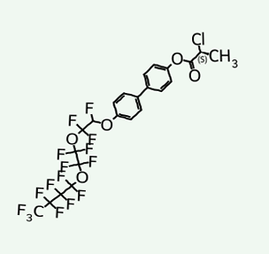 C[C@H](Cl)C(=O)Oc1ccc(-c2ccc(OC(F)C(F)(F)OC(F)(F)C(F)(F)OC(F)(F)C(F)(F)C(F)(F)C(F)(F)F)cc2)cc1